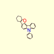 c1ccc(-n2c3ccccc3c3c4oc5c(c4ccc32)CCCC5)cc1